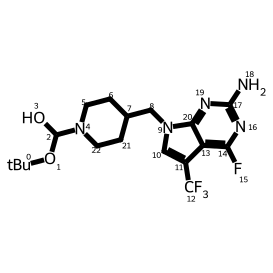 CC(C)(C)OC(O)N1CCC(Cn2cc(C(F)(F)F)c3c(F)nc(N)nc32)CC1